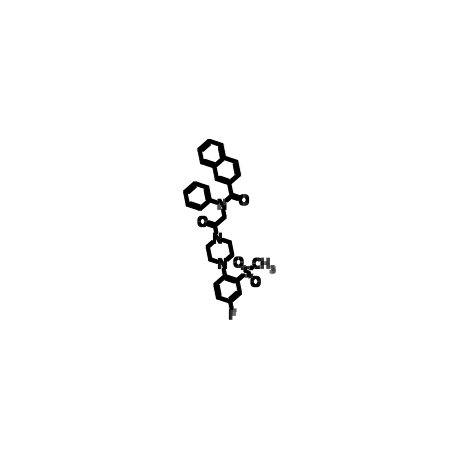 CS(=O)(=O)c1cc(F)ccc1N1CCN(C(=O)CN(C(=O)c2ccc3ccccc3c2)c2ccccc2)CC1